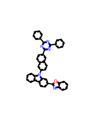 c1ccc(-c2nc(-c3ccccc3)nc(-c3ccc4cc(-n5c6ccccc6c6ccc(-c7nc8ccccc8o7)cc65)ccc4c3)n2)cc1